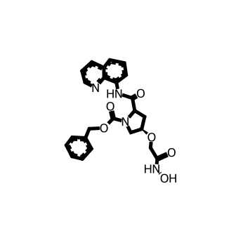 O=C(CO[C@@H]1CC(C(=O)Nc2cccc3cccnc23)N(C(=O)OCc2ccccc2)C1)NO